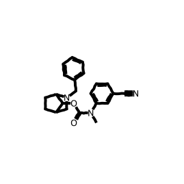 CN(C(=O)OC1C2CCC1N(Cc1ccccc1)C2)c1cccc(C#N)c1